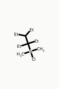 CCC(CC)C(CC)(CC)[Si](C)(C)Cl